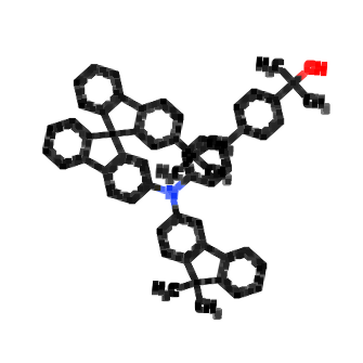 CC(C)(C)c1ccc2c(c1)C1(c3ccccc3-c3ccc(N(c4ccc(-c5ccc(C(C)(C)O)cc5)cc4)c4ccc5c(c4)-c4ccccc4C5(C)C)cc31)c1ccccc1-2